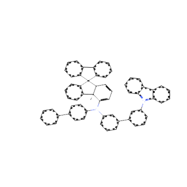 C1=CC2[C@H](C(N(c3ccc(-c4ccccc4)cc3)c3cccc(-c4cccc(-n5c6ccccc6c6ccccc65)c4)c3)=C1)c1ccccc1C21c2ccccc2-c2ccccc21